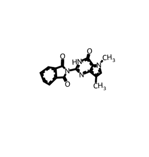 Cc1cn(C)c2c(=O)[nH]c(N3C(=O)c4ccccc4C3=O)nc12